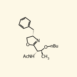 CCCCO[C@@H](C)[C@H](NC(C)=O)C1=N[C@@H](Cc2ccccc2)CO1